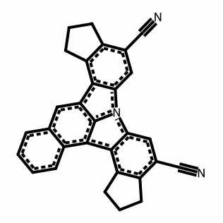 N#Cc1cc2c(c3c1CCC3)c1cc3ccccc3c3c4c5c(c(C#N)cc4n2c13)CCC5